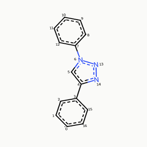 [c]1ccc(-c2cn(-c3ccccc3)nn2)cc1